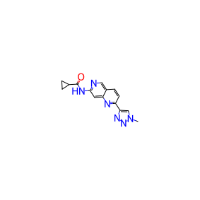 Cn1cc(-c2ccc3cnc(NC(=O)C4CC4)cc3n2)nn1